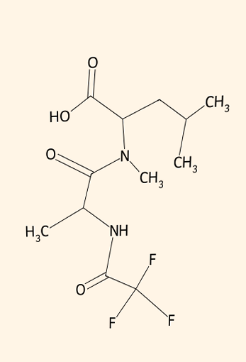 CC(C)CC(C(=O)O)N(C)C(=O)C(C)NC(=O)C(F)(F)F